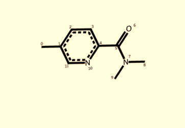 Cc1ccc(C(=O)N(C)C)nc1